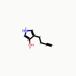 C#CCCc1c[nH]cc1O